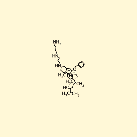 CC(C)C(O)CC[C@@H](C)[C@H]1CC[C@H]2[C@@H]3[C@H](OCc4ccccc4)CC4C[C@H](NCCCNCCCCN)CC[C@]4(C)[C@H]3CC[C@]12C